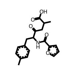 Cc1ccc(CC(NC(=O)c2ccco2)C(=O)CC(C)C(=O)O)cc1